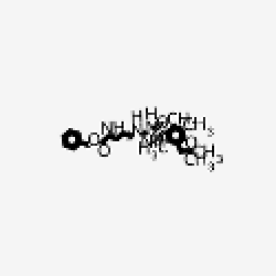 Cc1c(C)c(S(=O)(=O)NC(=N)NCCC[C@H](N)C(=O)OCc2ccccc2)c(C)c2c1OC(C)(C)C2